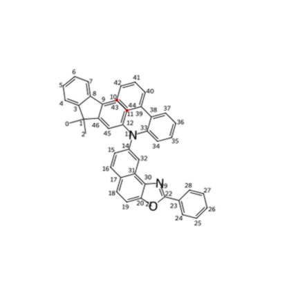 CC1(C)c2ccccc2-c2ccc(N(c3ccc4ccc5oc(-c6ccccc6)nc5c4c3)c3ccccc3-c3ccccc3)cc21